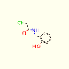 O=C(CCl)NCc1ccccc1O